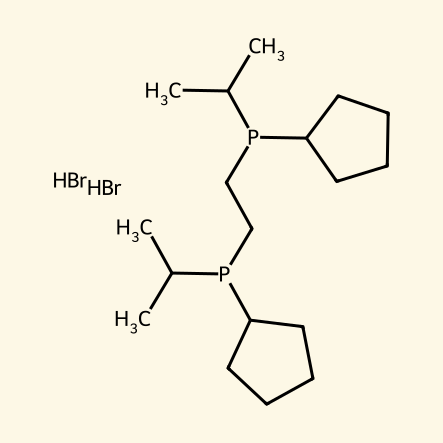 Br.Br.CC(C)P(CCP(C(C)C)C1CCCC1)C1CCCC1